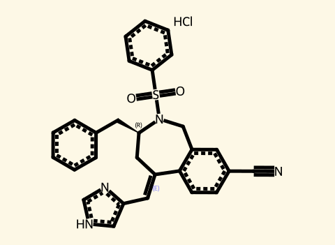 Cl.N#Cc1ccc2c(c1)CN(S(=O)(=O)c1ccccc1)[C@H](Cc1ccccc1)C/C2=C\c1c[nH]cn1